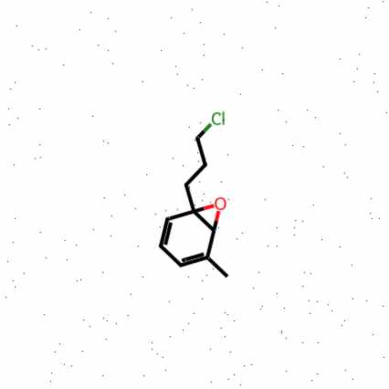 CC1=CC=CC2(CCCCl)OC12